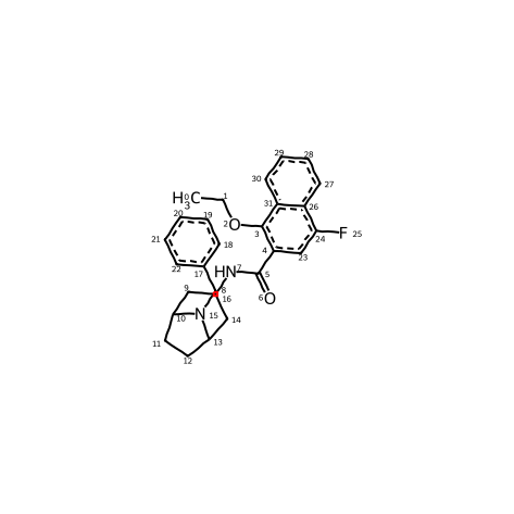 CCOc1c(C(=O)NC2CC3CCC(C2)N3Cc2ccccc2)cc(F)c2ccccc12